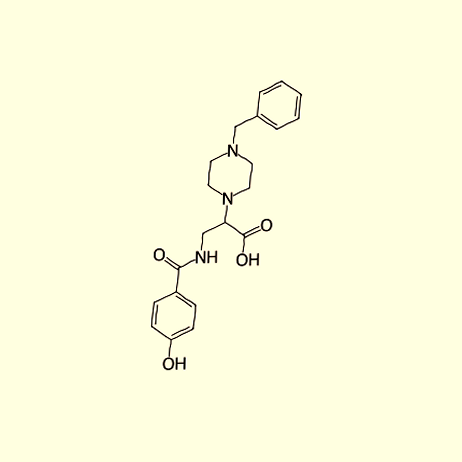 O=C(NCC(C(=O)O)N1CCN(Cc2ccccc2)CC1)c1ccc(O)cc1